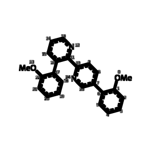 COc1ccccc1-c1ccc(-c2ncccc2-c2ccccc2OC)nc1